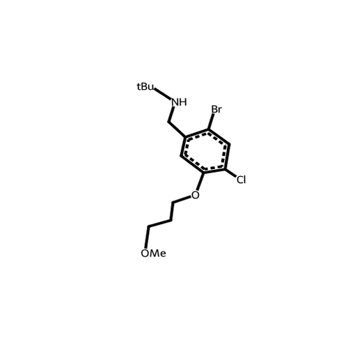 COCCCOc1cc(CNC(C)(C)C)c(Br)cc1Cl